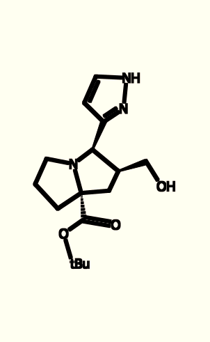 CC(C)(C)OC(=O)[C@]12CCCN1[C@@H](c1cc[nH]n1)[C@@H](CO)C2